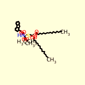 CCCCCCCCCCCCCCCC(=O)OC[C@H](CSC[C@H](NC(=O)OCc1cccc2c1Cc1ccccc1-2)C(=O)OC(C)(C)C)OC(=O)CCCCCCCCCCCCCCC